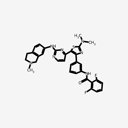 CN1CCc2ccc(Nc3nccc(-c4sc(N(C)C)nc4-c4cccc(NC(=O)c5c(F)cccc5F)c4)n3)cc2C1